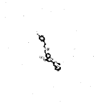 O/N=c1/cc(-c2cc3cccn3cn2)oc2ccc(CNCCc3ccc(F)cc3)cc12